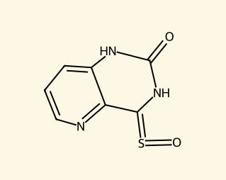 O=S=c1[nH]c(=O)[nH]c2cccnc12